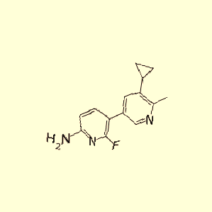 Cc1ncc(-c2ccc(N)nc2F)cc1C1CC1